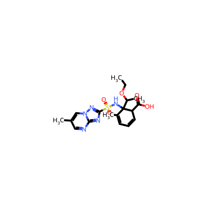 CCOC(C)C1(NS(=O)(=O)c2nc3ncc(C)cn3n2)C(C)=CC=CC1C(=O)O